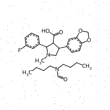 CCCCN(C=O)CCCC.CN1CC(c2ccc3c(c2)OCO3)C(C(=O)O)C1c1cccc(F)c1